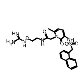 Cc1ccc(NS(=O)(=O)Cc2cccc3ccccc23)c(=O)n1CC(=O)NCCONC(=N)N